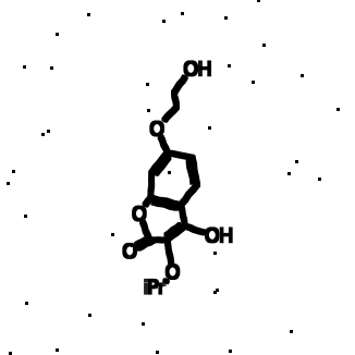 CC(C)Oc1c(O)c2ccc(OCCO)cc2oc1=O